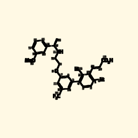 CCc1ccc(-c2cc(OCCN[C@H](C)c3cccc(OC)c3)cc(C(F)(F)F)c2)c(CC)c1/C=C/C(=O)O